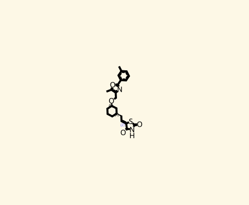 Cc1cccc(-c2nc(CO[C@@H]3CCC[C@H](C/C=C4\SC(=O)NC4=O)C3)c(C)o2)c1